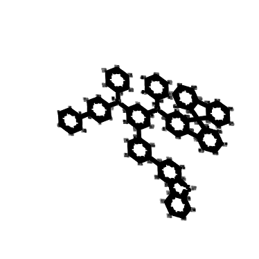 c1ccc(-c2ccc(N(c3ccccc3)c3cc(-c4cccc(-c5ccc6sc7ccccc7c6c5)c4)cc(N(c4ccccc4)c4ccc5c(c4)C4(c6ccccc6-c6ccccc64)c4ccccc4-5)c3)cc2)cc1